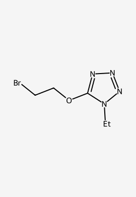 CCn1nnnc1OCCBr